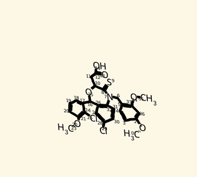 COc1ccc(CN2C(=S)C(CC(=O)O)OC(c3cccc(OC)c3Cl)c3cc(Cl)ccc32)c(OC)c1